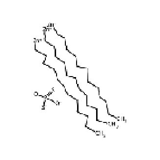 CCCCCCCCCCC[CH2][Zn+].CCCCCCCCCCC[CH2][Zn+].CCCCCCCCCCC[CH2][Zn+].[O-]P([O-])(=S)[S-]